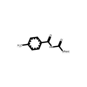 CCCCCC(=O)NC(=O)c1ccc(C)cc1